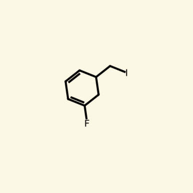 FC1=CC=CC(CI)C1